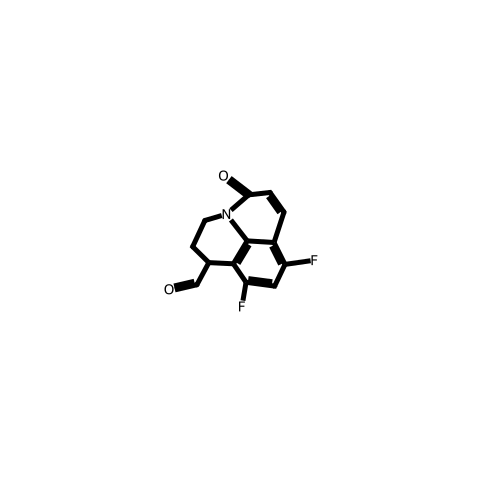 O=CC1CCn2c(=O)ccc3c(F)cc(F)c1c32